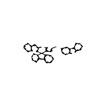 c1ccc2c(c1)-c1ccccc1C21c2ccc(Nc3ccc4sc5ccccc5c4c3)cc2Sc2cc3ccccc3cc21